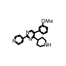 COc1cccc(-c2cnc(-c3ccncc3)nc2C2CCNCC2)c1